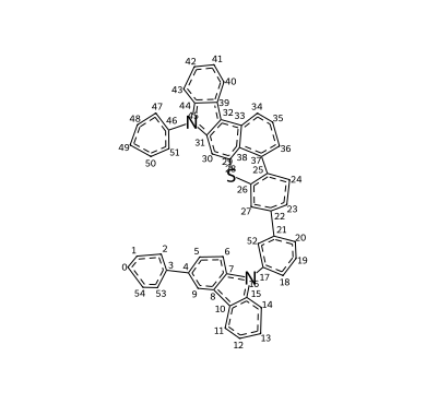 c1ccc(-c2ccc3c(c2)c2ccccc2n3-c2cccc(-c3ccc4c(c3)Sc3cc5c(c6cccc-4c36)c3ccccc3n5-c3ccccc3)c2)cc1